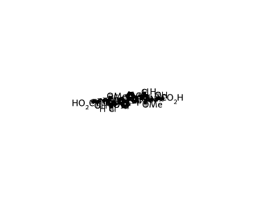 COc1nc(O[C@@H]2c3cccc(-c4cccc5c4C[C@H](F)[C@@H]5Oc4nc(OC)c(CNC[C@@H](O)CC(=O)O)cc4Cl)c3C[C@@H]2F)c(Cl)cc1CNC[C@@H](O)CC(=O)O